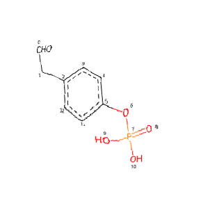 O=CCc1ccc(OP(=O)(O)O)cc1